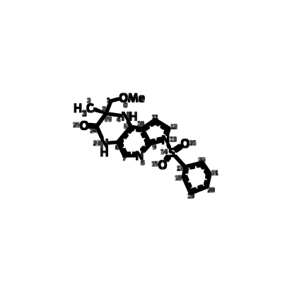 COC[C@]1(C)Nc2c(cnc3c2ccn3S(=O)(=O)c2ccccc2)NC1=O